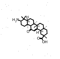 CC1(C)C(N)CC[C@]2(C)C3C(=O)C=C4[C@@H]5C[C@@](C)(C(=O)O)CC[C@]5(C)CC[C@@]4(C)[C@]3(C)CC[C@@H]12